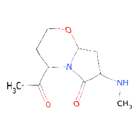 CNC1CC2OCCC(C(C)=O)N2C1=O